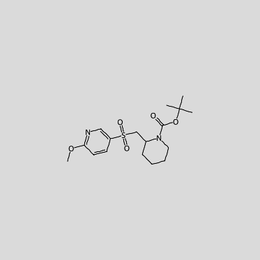 COc1ccc(S(=O)(=O)CC2CCCCN2C(=O)OC(C)(C)C)cn1